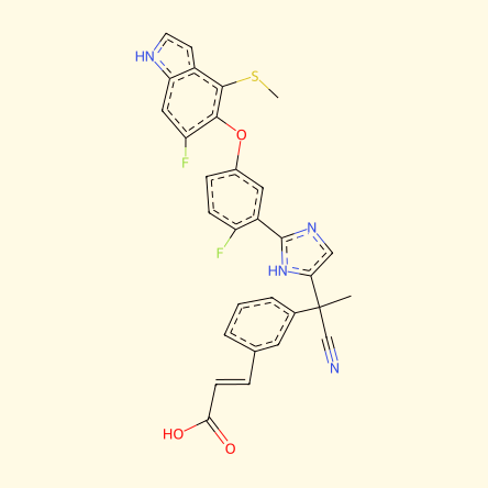 CSc1c(Oc2ccc(F)c(-c3ncc(C(C)(C#N)c4cccc(C=CC(=O)O)c4)[nH]3)c2)c(F)cc2[nH]ccc12